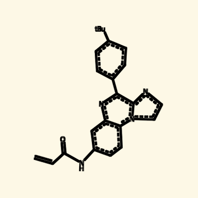 C=CC(=O)Nc1ccc2c(c1)nc(-c1ccc(C(C)(C)C)cc1)c1nccn12